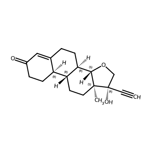 C#C[C@]1(O)CO[C@H]2[C@@H]3CCC4=CC(=O)CC[C@@H]4[C@H]3CC[C@@]21C